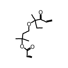 C=CC(=O)OC(C)(C)CCOC(C)(CC)C(=O)C=C